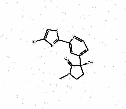 CN1CC[C@@](O)(c2cccc(-c3nc(Br)cs3)c2)C1=O